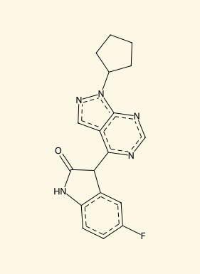 O=C1Nc2ccc(F)cc2C1c1ncnc2c1cnn2C1CCCC1